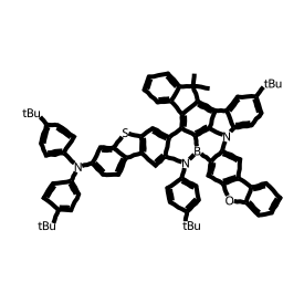 CC(C)(C)c1ccc(N2B3c4cc5oc6ccccc6c5cc4-n4c5ccc(C(C)(C)C)cc5c5c6c(c(c3c54)-c3cc4sc5cc(N(c7ccc(C(C)(C)C)cc7)c7ccc(C(C)(C)C)cc7)ccc5c4cc32)-c2ccccc2C6(C)C)cc1